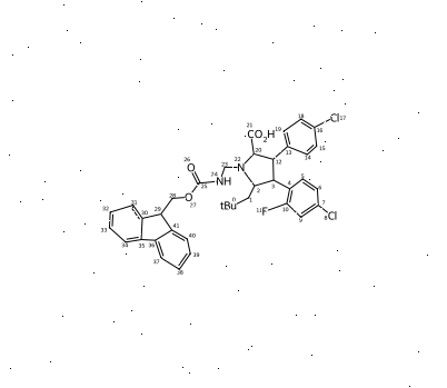 CC(C)(C)CC1C(c2ccc(Cl)cc2F)C(c2ccc(Cl)cc2)C(C(=O)O)N1CNC(=O)OCC1c2ccccc2-c2ccccc21